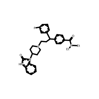 CCN(CC)C(=O)c1ccc(C(CCN2CCC(n3c(=O)[nH]c4ccccc43)CC2)c2cccc(F)c2)cc1